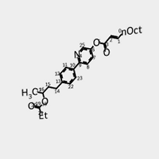 CCCCCCCCC=CC(=O)Oc1ccc(-c2ccc(CCC(C)OC(=O)CC)cc2)nc1